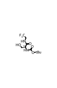 CC(C)(C)OC(=O)N[C@@H](CO)C(=O)NCC(F)(F)F